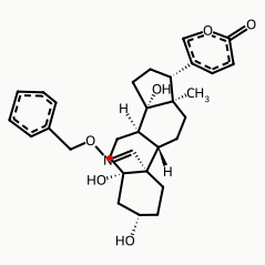 C[C@]12CC[C@H]3[C@@H](CC[C@]4(O)C[C@@H](O)CC[C@]34/C=N/OCc3ccccc3)[C@@]1(O)CC[C@@H]2c1ccc(=O)oc1